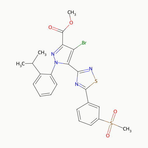 COC(=O)c1nn(-c2ccccc2C(C)C)c(-c2nsc(-c3cccc(S(C)(=O)=O)c3)n2)c1Br